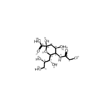 O=C(CCl)NC1C([C@H](O)[C@H](O)CO)O[C@](O)(C(=O)O)C[C@H]1O